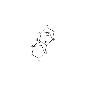 C1CC2CC1[C]1C3CCC(C3)C12